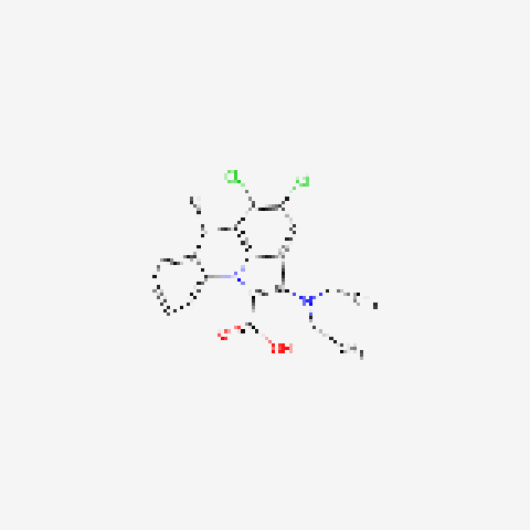 CCN(CC)c1c(C(=O)O)n2c3c(c(Cl)c(Cl)cc13)C(C)c1ccccc1-2